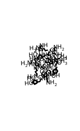 CC(C)(S)[C@H](NC(=O)[C@H](Cc1ccc(O)cc1)NC(=O)[C@@H](N)CCN)C(=O)N[C@@H](CC(N)=O)C(=O)N[C@@H](CCCNC(=N)N)C(=O)N[C@@H](CCN)C(=O)N[C@@H](CO)C(=O)N[C@H](CCN)C(=O)N[C@@H](CCCCN)C(=O)N[C@@H](CS)C(=O)N[C@@H](CCN)C(=O)N[C@@H](CCN)C(=O)N[C@@H](Cc1ccc(O)cc1)C(=O)O